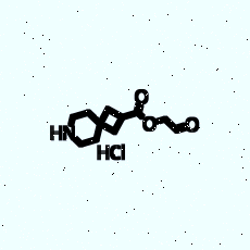 Cl.O=CCOC(=O)C1CC2(CCNCC2)C1